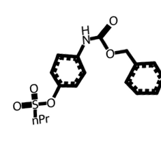 CCCS(=O)(=O)Oc1ccc(NC(=O)OCc2ccccc2)cc1